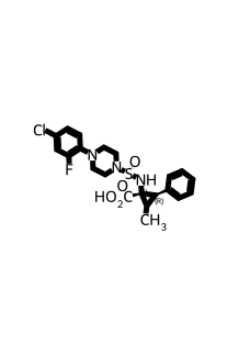 CC1[C@H](c2ccccc2)[C@]1(NS(=O)(=O)N1CCN(c2ccc(Cl)cc2F)CC1)C(=O)O